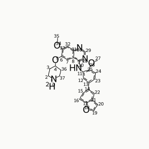 [2H]N1CCC(Oc2cc3c(Nc4cc(-c5ccc6occc6c5)ccc4OC)ncnc3cc2OC)CC1